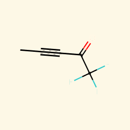 CC#CC(=O)C(F)(F)F